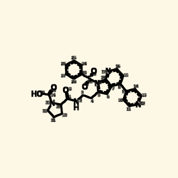 O=C(NCCc1cc2c(-c3ccncc3)ccnc2n1S(=O)(=O)c1ccccc1)C1CCCN1C(=O)O